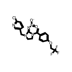 C=C(c1ccc(OCC(F)(F)F)cc1)N1CCN(Cc2ccc(Cl)nc2)C1=N[N+](=O)[O-]